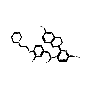 CCN(Cc1ccc(OCCN2CCCCC2)c(F)c1)c1ccc(OC)nc1C1CCc2cc(OC)ccc2C1